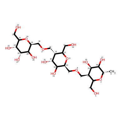 C[C@@H]1OC(CO)[C@@H](COC[C@@H]2OC(CO)[C@@H](COC[C@@H]3OC(CO)[C@@H](O)[C@@H](O)C3O)[C@@H](O)C2O)[C@@H](O)C1O